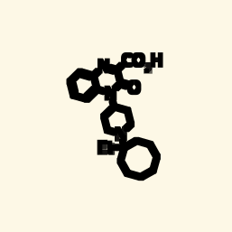 CCC1(N2CCC(n3c(=O)c(C(=O)O)nc4ccccc43)CC2)CCCCCCC1